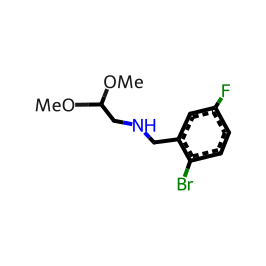 COC(CNCc1cc(F)ccc1Br)OC